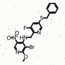 COc1ncc([N+](=O)[O-])c(NCc2ncc(SCc3ccccc3)cc2F)c1Br